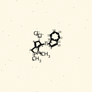 CP1CC2=CC[C]([Ti+2][CH]3C=Cc4ccccc43)=C2P1C.[Cl-].[Cl-]